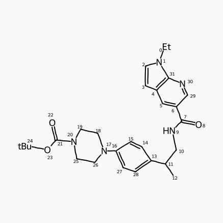 CCn1ccc2cc(C(=O)NCC(C)c3ccc(N4CCN(C(=O)OC(C)(C)C)CC4)cc3)cnc21